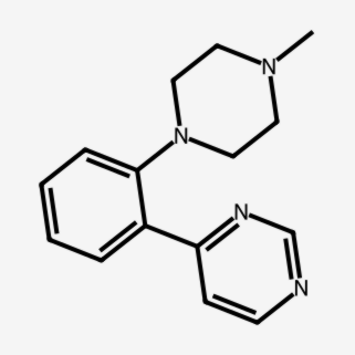 CN1CCN(c2ccccc2-c2ccncn2)CC1